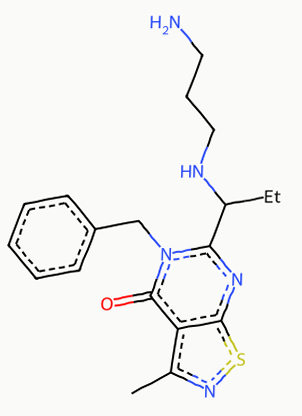 CCC(NCCCN)c1nc2snc(C)c2c(=O)n1Cc1ccccc1